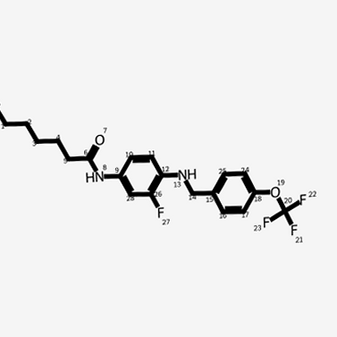 CCCCCCC(=O)Nc1ccc(NCc2ccc(OC(F)(F)F)cc2)c(F)c1